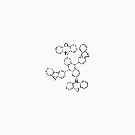 c1ccc2c(c1)Oc1ccccc1N2c1ccc2c(-c3ccc4sc5ccccc5c4c3)c3cc(N4c5ccccc5Oc5ccccc54)ccc3c(-c3ccc4sc5ccccc5c4c3)c2c1